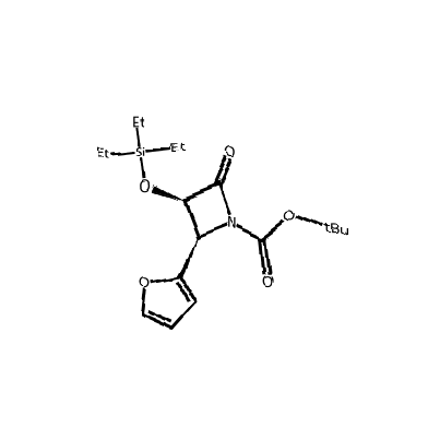 CC[Si](CC)(CC)O[C@H]1C(=O)N(C(=O)OC(C)(C)C)[C@H]1c1ccco1